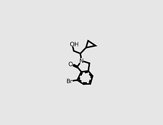 O=C1c2c(Br)cccc2CN1C(CO)C1CC1